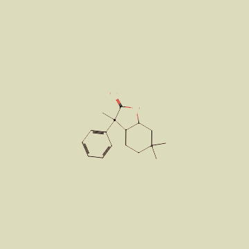 CC1(C)CCC2C(C1)OC(=O)C2(C)c1ccccc1